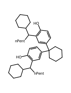 CCCCCC(c1cc(C2(c3ccc(O)c(C(CCCCC)C4CCCCC4)c3)CCCCC2)ccc1O)C1CCCCC1